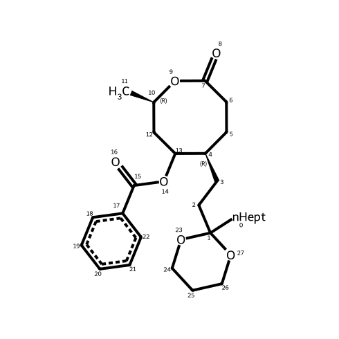 CCCCCCCC1(CC[C@@H]2CCC(=O)O[C@H](C)CC2OC(=O)c2ccccc2)OCCCO1